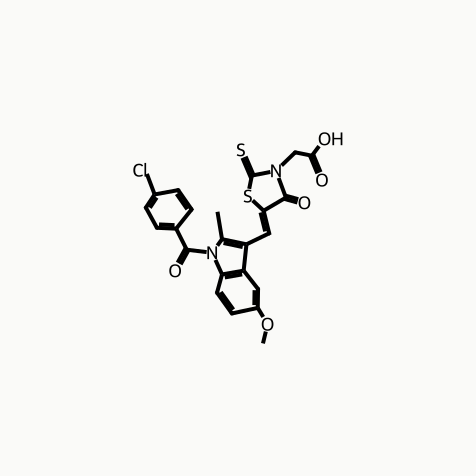 COc1ccc2c(c1)c(/C=C1\SC(=S)N(CC(=O)O)C1=O)c(C)n2C(=O)c1ccc(Cl)cc1